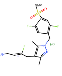 CNS(=O)(=O)c1cc(F)c(Cn2nc(C)c(C/C(F)=C/CN)c2C)cc1F.Cl